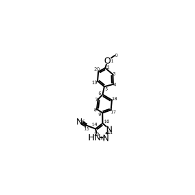 COc1ccc(-c2ccc(-c3nn[nH]c3C#N)cc2)cc1